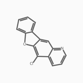 Clc1c2cccnc2cc2c1oc1ccccc12